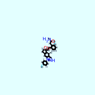 C[C@H]1C2=CNN(c3ccc(F)cc3)C2=CC2=C1[C@@](O)(CCc1cccc(F)c1CC(N)=O)CC2